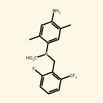 Cc1cc(N(Cc2c(F)cccc2C(F)(F)F)C(=O)O)c(C)cc1N